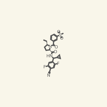 CC[C@@H]1CC[C@H](C(=O)NC(c2cc(F)c(C#N)cc2F)C2CC2)N1C(=O)c1cccc(S(C)(=O)=O)c1